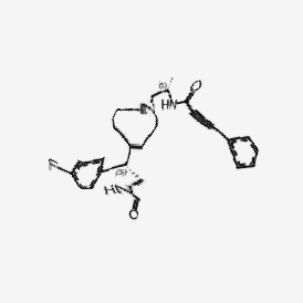 C[C@@H](CN1CCC([C@H](CNC=O)c2ccc(F)cc2)CC1)NC(=O)C#Cc1ccccc1